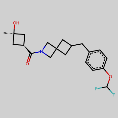 C[C@]1(O)C[C@@H](C(=O)N2CC3(CC(Cc4ccc(OC(F)F)cc4)C3)C2)C1